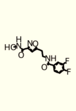 O=C(NCCc1cc(C(=O)NO)no1)c1ccc(F)c(F)c1